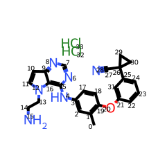 Cc1cc(Nc2ncnc3ccn(CCN)c23)ccc1Oc1cccc(C2(C#N)CC2)c1.Cl.Cl